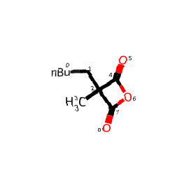 CCCCCC1(C)C(=O)OC1=O